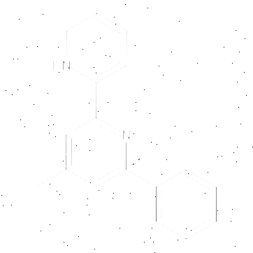 Cc1cc(C2=CC=CCN2)nc(-c2ccccc2)c1